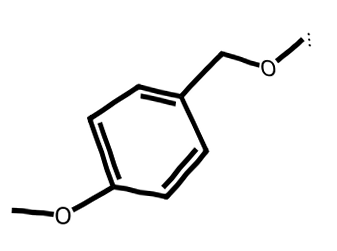 [C]OCc1ccc(OC)cc1